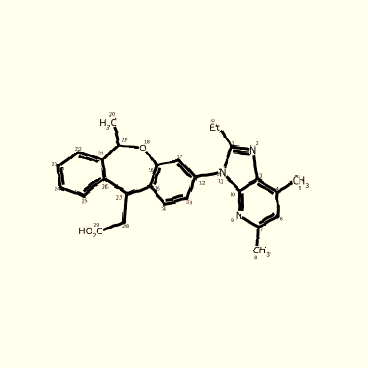 CCc1nc2c(C)cc(C)nc2n1-c1ccc2c(c1)OC(C)c1ccccc1C2CC(=O)O